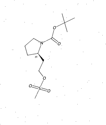 CC(C)(C)OC(=O)N1CCC[C@@H]1CCOS(C)(=O)=O